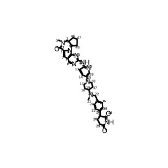 CN(C)C(=O)c1cc2cnc(Nc3ccc(N4CCC(N(C)Cc5ccc(C6CCC(=O)NC6=O)cc5)CC4)cn3)nc2n1C1CCCC1